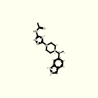 CC(=O)Nc1nnc(N2CCN([C@@H](C)c3ccc4cnsc4c3)CC2)s1